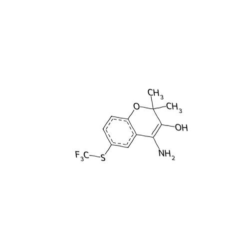 CC1(C)Oc2ccc(SC(F)(F)F)cc2C(N)=C1O